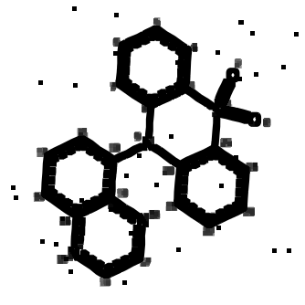 O=S1(=O)c2ccccc2N(c2cccc3nccnc23)c2ccccc21